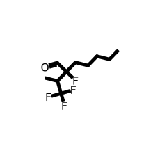 CCCCCC(F)(C=O)C(C)C(F)(F)F